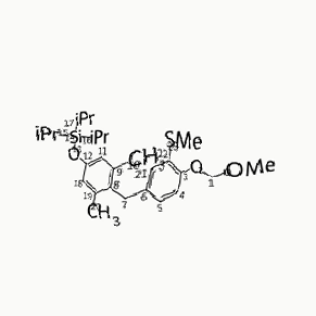 COCOc1ccc(Cc2c(C)cc(O[Si](C(C)C)(C(C)C)C(C)C)cc2C)cc1SC